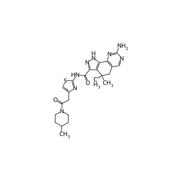 CC1CCN(C(=O)Cc2csc(NC(=O)c3n[nH]c4c3C(C)(C)Cc3cnc(N)nc3-4)n2)CC1